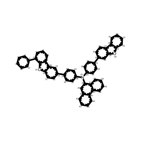 c1ccc(-c2cccc3c2oc2ccc(-c4ccc(N(c5ccc(-c6ccc7c(c6)oc6ccccc67)cc5)c5cc6ccccc6c6ccccc56)cc4)cc23)cc1